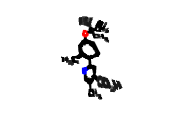 Cc1cnc(-c2ccc(O[Si](C)(C)C(C)(C)C)cc2C)cc1C(=O)O